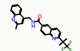 Cc1cc(CNC(=O)c2ccc3nc(C(C)(C)C(F)(F)F)ccc3c2)c2ccccc2n1